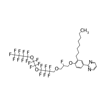 CCCCCCCCc1cc(-c2ncccn2)ccc1OCC(F)COCC(F)(F)C(F)(F)C(F)(F)OC(F)(F)C(F)(F)OC(F)(F)C(F)(F)C(F)(F)C(F)(F)F